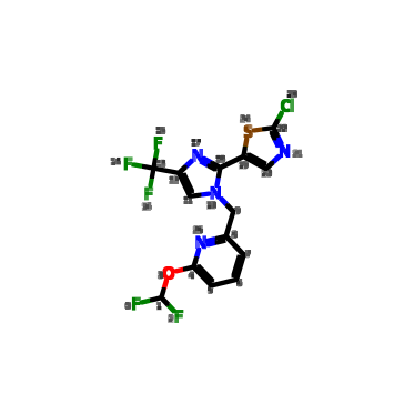 FC(F)Oc1cccc(Cn2cc(C(F)(F)F)nc2-c2cnc(Cl)s2)n1